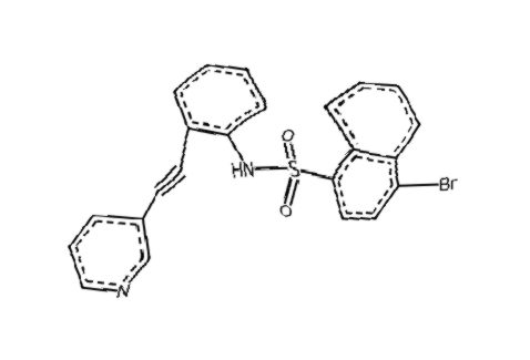 O=S(=O)(Nc1ccccc1C#Cc1cccnc1)c1ccc(Br)c2ccccc12